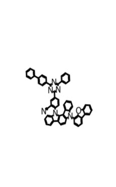 N#Cc1cc(-c2nc(-c3ccccc3)nc(-c3ccc(-c4ccccc4)cc3)n2)ccc1-n1c2ccccc2c2ccc3c(c4ccccc4n3-c3cccc4c3oc3ccccc34)c21